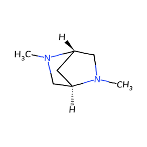 CN1C[C@@H]2C[C@@H]1CN2C